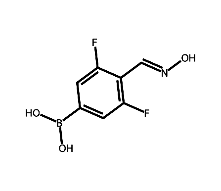 O/N=C/c1c(F)cc(B(O)O)cc1F